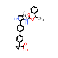 Cc1c[nH]c(-c2ccc(-c3ccc(C4(C(=O)O)CC4)cc3)cc2)c1NC(=O)OC(C)c1ccccc1